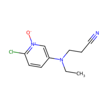 CCN(CCC#N)c1ccc(Cl)[n+]([O-])c1